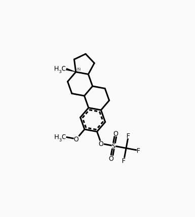 COc1cc2c(cc1OS(=O)(=O)C(F)(F)F)CCC1C2CC[C@]2(C)CCCC12